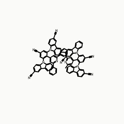 Cc1cc(-c2c(-n3c4ccccc4c4ccc(C#N)cc43)cc(C#N)cc2-n2c3ccccc3c3cc(-c4ccc5c(c4)c4cc(C#N)ccc4n5-c4cc(C#N)cc(-n5c6ccccc6c6cc(C#N)ccc65)c4-c4cc(-c5ccccc5)nc(-c5ccccc5)c4)c(C#N)cc32)cc(C)n1